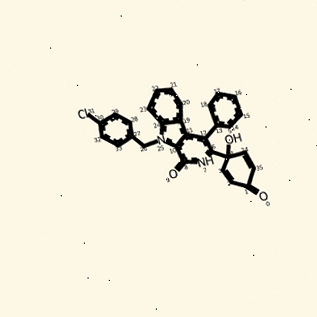 O=C1C=CC(O)(c2[nH]c(=O)c3c(c2-c2ccccc2)c2ccccc2n3Cc2ccc(Cl)cc2)C=C1